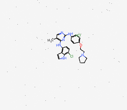 Cc1cnc(Nc2ccc(OCCN3CCCC3)cc2)nc1Nc1ccc(Cl)c2[nH]ccc12.Cl